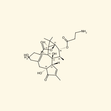 CC1=C[C@H]2[C@@]3(O)[C@H](C)[C@@H](OC(=O)CCN)[C@]4(OC(=O)CCN)[C@@H]([C@@H]3C=C(CO)C[C@]2(O)C1=O)C4(C)C